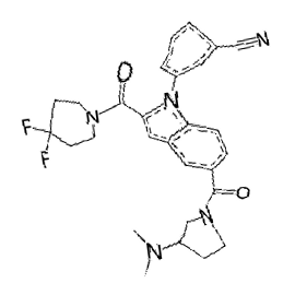 CN(C)C1CCN(C(=O)c2ccc3c(c2)cc(C(=O)N2CCC(F)(F)CC2)n3-c2cccc(C#N)c2)C1